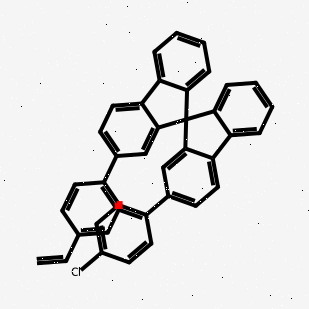 C=Cc1ccc(-c2ccc3c(c2)C2(c4ccccc4-c4ccc(-c5ccc(Cl)cc5)cc42)c2ccccc2-3)cc1